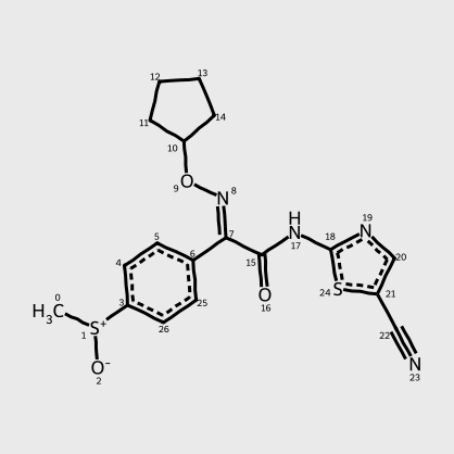 C[S+]([O-])c1ccc(/C(=N\OC2CCCC2)C(=O)Nc2ncc(C#N)s2)cc1